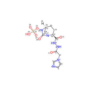 O=C(Cn1ccnc1)NNC(=O)[C@@H]1CC[C@H]2CN1C(=O)N2OS(=O)(=O)O